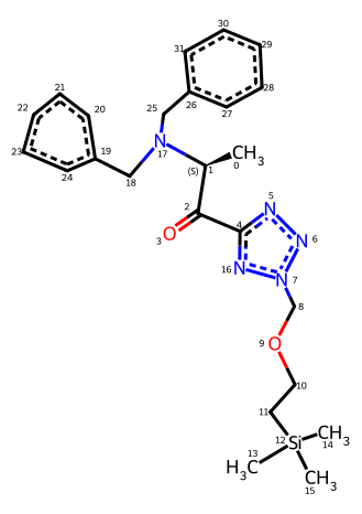 C[C@@H](C(=O)c1nnn(COCC[Si](C)(C)C)n1)N(Cc1ccccc1)Cc1ccccc1